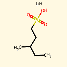 CCC(C)CCS(=O)(=O)O.[LiH]